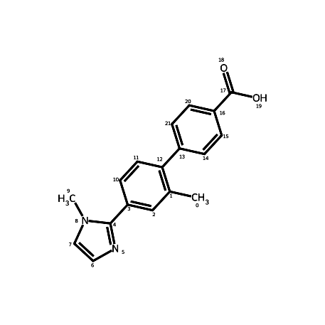 Cc1cc(-c2nccn2C)ccc1-c1ccc(C(=O)O)cc1